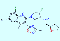 CCc1cc(F)c2nc(N3C[C@H](F)[C@H](NC[C@H]4CCCO4)C3)c(-c3nc(C)no3)c(C)c2c1